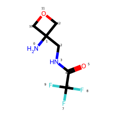 NC1(CNC(=O)C(F)(F)F)COC1